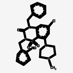 CN1CCN(c2cc(Cl)cc3c2S(=O)(=O)N(Cc2ccccc2N=O)C(=O)N3Cc2ccccc2)CC1